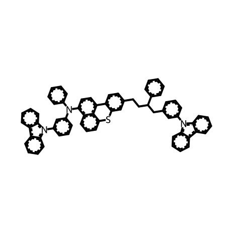 c1ccc(C(CCc2ccc3c(c2)Sc2cccc4c(N(c5ccccc5)c5cccc(-n6c7ccccc7c7ccccc76)c5)ccc-3c24)Cc2cccc(-n3c4ccccc4c4ccccc43)c2)cc1